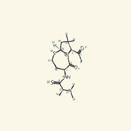 CC(=O)[C@H]1N2C(=O)[C@@H](NC(=S)[C@H](C)N(C)C)CCS[C@H]2CC1(C)C